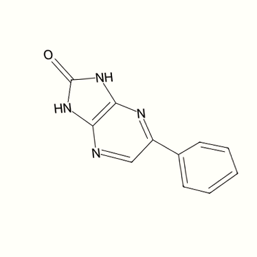 O=c1[nH]c2ncc(-c3ccccc3)nc2[nH]1